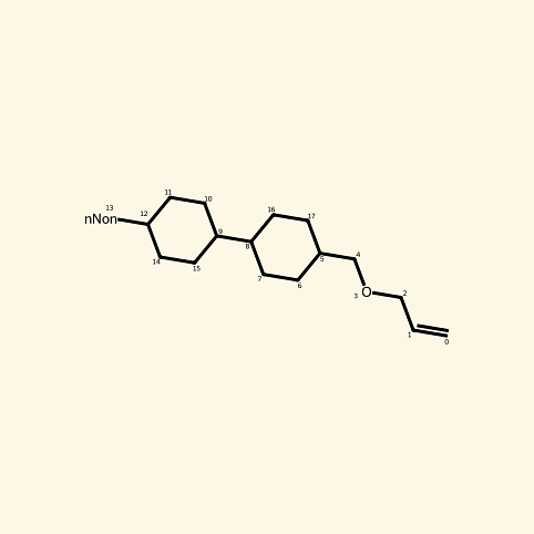 C=CCOCC1CCC(C2CCC(CCCCCCCCC)CC2)CC1